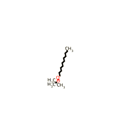 CCCCCCCCCCCCOOC(C)(C)C